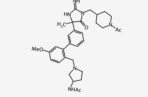 COc1ccc(CN2CCC(NC(C)=O)C2)c(-c2cccc(C3(C)NC(=N)N(CC4CCN(C(C)=O)CC4)C3=O)c2)c1